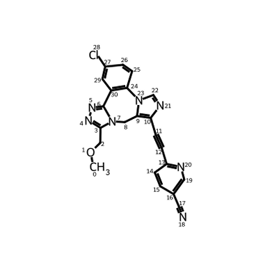 COCc1nnc2n1Cc1c(C#Cc3ccc(C#N)cn3)ncn1-c1ccc(Cl)cc1-2